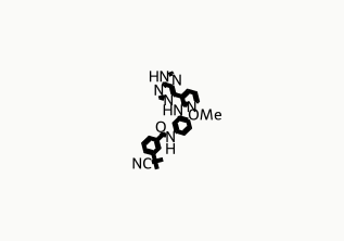 COc1ccc(NC(=O)c2cccc(C(C)(C)C#N)c2)cc1Nc1ncccc1-c1ncnc2[nH]cnc12